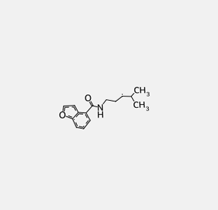 CC(C)[CH]CCNC(=O)c1cccc2occc12